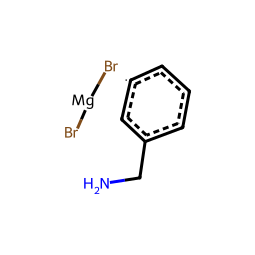 NCc1c[c]ccc1.[Br][Mg][Br]